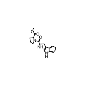 COC(=O)C1CCCN1C(=O)C(N)Cc1c[nH]c2ccccc12